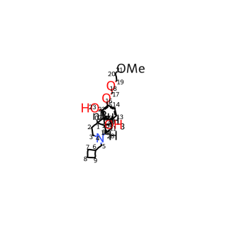 CCCCC12CCN(CC3CCC3)[C@H](Cc3ccc(OCOCCOC)c(O)c31)C2(C)O